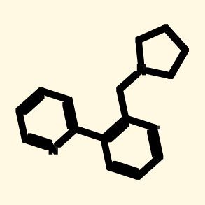 [c]1cccc(-c2ccccn2)c1CN1CCCC1